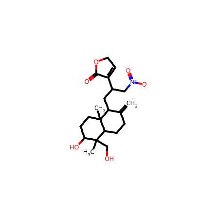 C=C1CCC2C(C)(CO)C(O)CCC2(C)C1CC(C[N+](=O)[O-])C1=CCOC1=O